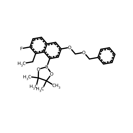 CCc1c(F)ccc2cc(OCOCc3ccccc3)cc(B3OC(C)(C)C(C)(C)O3)c12